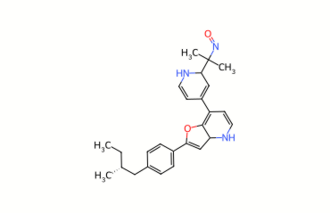 CC[C@@H](C)Cc1ccc(C2=CC3NC=CC(C4=CC(C(C)(C)N=O)NC=C4)=C3O2)cc1